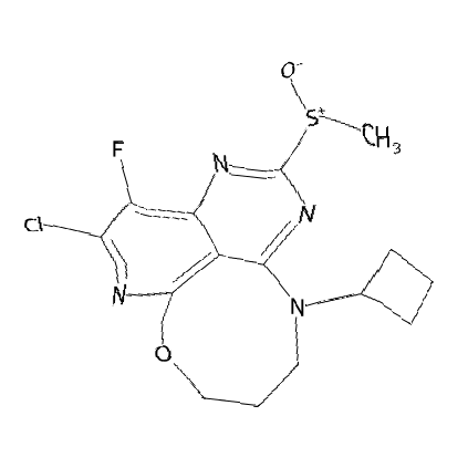 C[S+]([O-])c1nc2c3c(nc(Cl)c(F)c3n1)OCCCN2C1CCC1